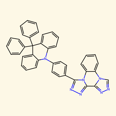 c1ccc(C2(c3ccccc3)c3ccccc3N(c3ccc(-c4nnc5c6nncn6c6ccccc6n45)cc3)c3ccccc32)cc1